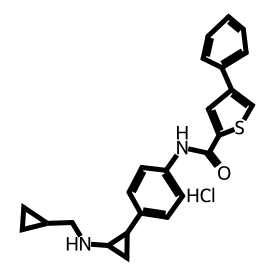 Cl.O=C(Nc1ccc(C2CC2NCC2CC2)cc1)c1cc(-c2ccccc2)cs1